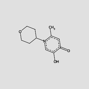 Cc1cc(=O)c(O)cn1C1CCOCC1